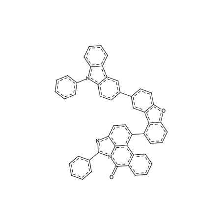 O=c1c2ccccc2c2c(-c3cccc4oc5ccc(-c6ccc7c(c6)c6ccccc6n7-c6ccccc6)cc5c34)ccc3nc(-c4ccccc4)n1c32